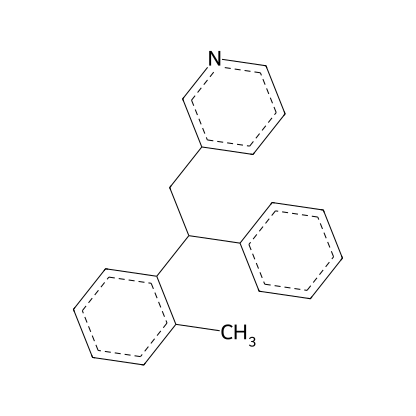 Cc1ccccc1C(Cc1cccnc1)c1ccccc1